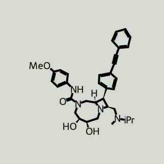 COc1ccc(NC(=O)N2C[C@H](O)[C@H](O)CN3[C@H](CN(C)C(C)C)[C@H](c4ccc(C#Cc5ccccc5)cc4)[C@@H]3C2)cc1